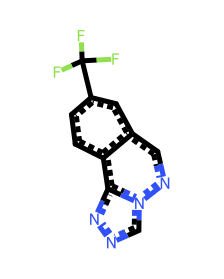 FC(F)(F)c1ccc2c(cnn3cnnc23)c1